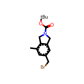 Cc1cc(CBr)cc2c1CN(C(=O)OC(C)(C)C)C2